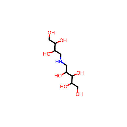 OCC(O)C(O)CNCC(O)C(O)C(O)CO